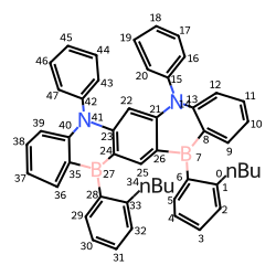 CCCCc1ccccc1B1c2ccccc2N(c2ccccc2)c2cc3c(cc21)B(c1ccccc1CCCC)c1ccccc1N3c1ccccc1